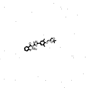 CCCCN(C(=O)c1ccccc1F)c1nnc(-c2cc(C)c(OC[C@H]3COC(C)(C)O3)c(C)c2)s1